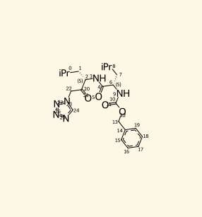 CC(C)C[C@H](NC(=O)[C@H](CC(C)C)NC(=O)OCc1ccccc1)C(=O)Cn1cnnn1